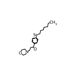 CCCCCCC[Se]c1ccc(C(=O)CCN2CCOCC2)cc1